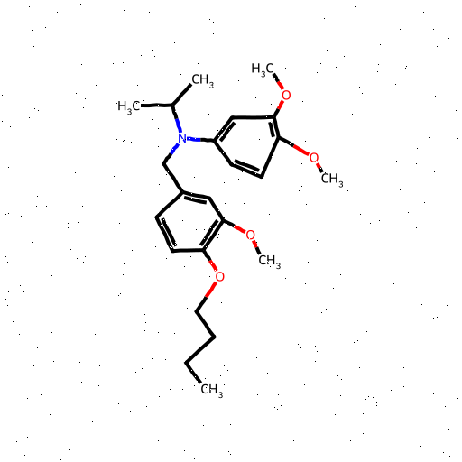 CCCCOc1ccc(CN(c2ccc(OC)c(OC)c2)C(C)C)cc1OC